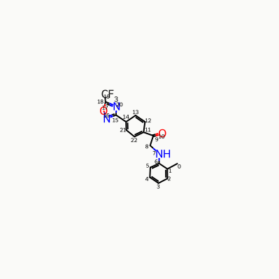 Cc1ccccc1NCC(=O)c1ccc(-c2noc(C(F)(F)F)n2)cc1